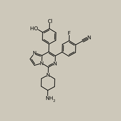 N#Cc1ccc(-c2nc(N3CCC(N)CC3)n3ccnc3c2-c2ccc(Cl)c(O)c2)cc1F